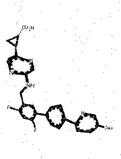 COc1ccc(-c2ccc(-c3cc(CNc4cnc([C@H]5C[C@@H]5C(=O)O)cn4)c(F)cc3F)cc2)nc1